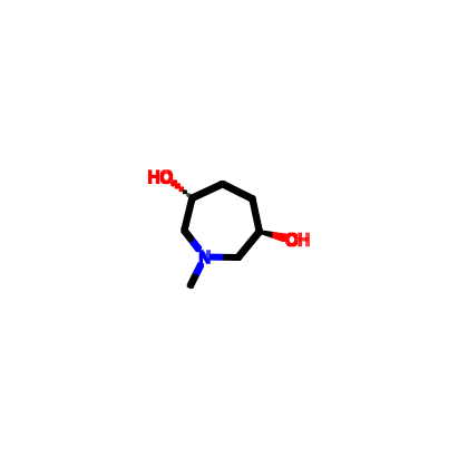 CN1C[C@H](O)CC[C@@H](O)C1